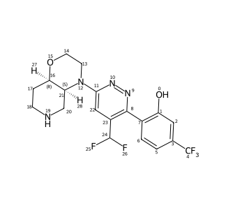 Oc1cc(C(F)(F)F)ccc1-c1nnc(N2CCO[C@@H]3CCNC[C@@H]32)cc1C(F)F